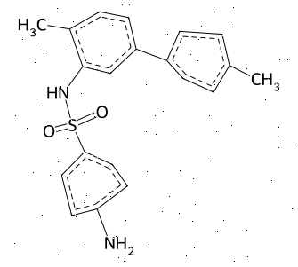 Cc1ccc(-c2ccc(C)c(NS(=O)(=O)c3ccc(N)cc3)c2)cc1